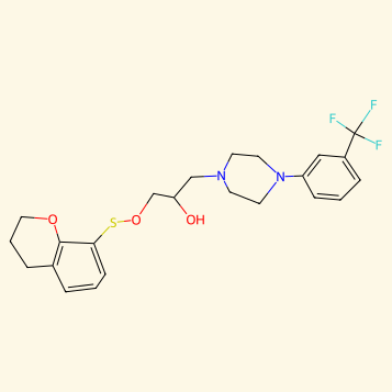 OC(COSc1cccc2c1OCCC2)CN1CCN(c2cccc(C(F)(F)F)c2)CC1